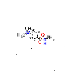 BNS(=O)(=O)C1C=CC(=[N+](C)C)C=C1